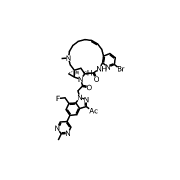 CC(=O)c1nn(CC(=O)N2C3C[C@]34C[C@H]2C(=O)Nc2nc(Br)ccc2CC=CCCCCN(C)C4)c2c(CF)cc(-c3cnc(C)nc3)cc12